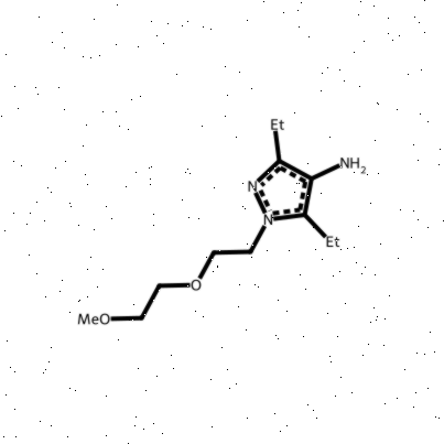 CCc1nn(CCOCCOC)c(CC)c1N